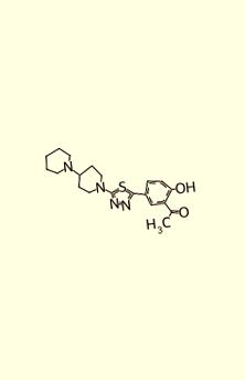 CC(=O)c1cc(-c2nnc(N3CCC(N4CCCCC4)CC3)s2)ccc1O